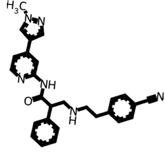 Cn1cc(-c2ccnc(NC(=O)C(CNCCc3ccc(C#N)cc3)c3ccccc3)c2)cn1